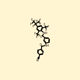 N#Cc1ccc(C(=O)Nc2cccc(C(=O)Nc3c(C(F)(F)F)cc(C(F)(C(F)(F)F)C(F)(F)F)cc3C(F)(F)F)c2)cc1